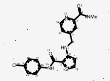 CNC(=O)c1cc(CNc2ccsc2C(=O)Nc2ccc(Cl)cc2)ccn1